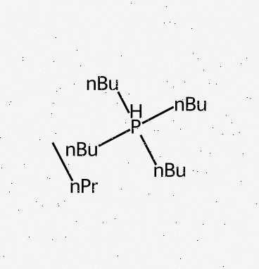 CCCC.CCCC[PH](CCCC)(CCCC)CCCC